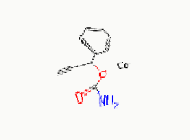 C#CC(OC(N)=O)c1ccccc1.[Co]